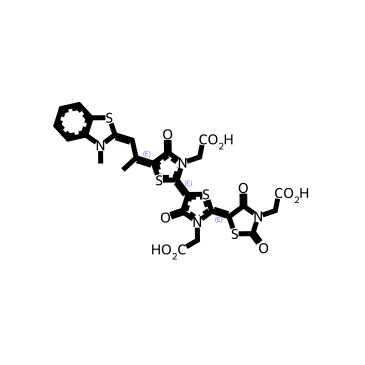 C/C(C=C1Sc2ccccc2N1C)=c1\s/c(=c2/s/c(=C3/SC(=O)N(CC(=O)O)C3=O)n(CC(=O)O)c2=O)n(CC(=O)O)c1=O